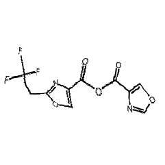 O=C(OC(=O)c1coc(CC(F)(F)F)n1)c1cocn1